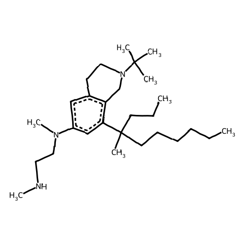 CCCCCCC(C)(CCC)c1cc(N(C)CCNC)cc2c1CN(C(C)(C)C)CC2